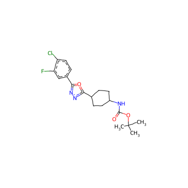 CC(C)(C)OC(=O)NC1CCC(c2nnc(-c3ccc(Cl)c(F)c3)o2)CC1